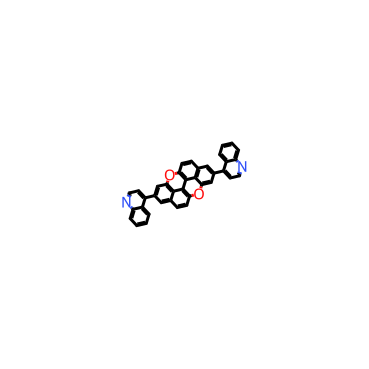 c1ccc2c(-c3cc4ccc5oc6cc(-c7ccnc8ccccc78)cc7ccc8oc(c3)c4c5-c8c76)ccnc2c1